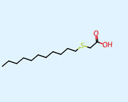 CCCCCCCCCCCSCC(=O)O